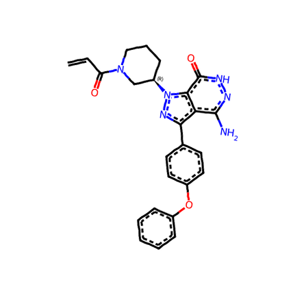 C=CC(=O)N1CCC[C@@H](n2nc(-c3ccc(Oc4ccccc4)cc3)c3c(N)n[nH]c(=O)c32)C1